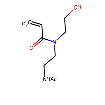 C=CC(=O)N(CCO)CCNC(C)=O